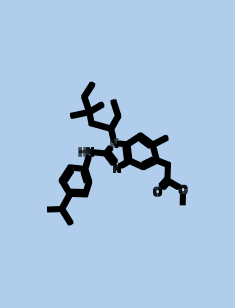 CCC(CC(C)(C)CC)n1c(Nc2ccc(C(C)C)cc2)nc2cc(CC(=O)OC)c(C)cc21